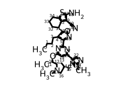 CCCCc1c(-c2nc(O[C@@H](C)[C@@H]3C[C@@H](F)CN3C)cc(-c3cnn(C)n3)n2)noc1[C@H]1CCCc2sc(N)c(C#N)c21